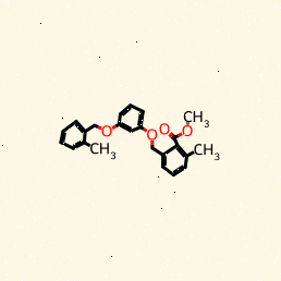 COC(=O)c1c(C)cccc1COc1cccc(OCc2ccccc2C)c1